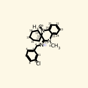 CN1/C(=N/Cc2cccc(Cl)c2)C2(CCCCC2)N(C)c2ccccc21